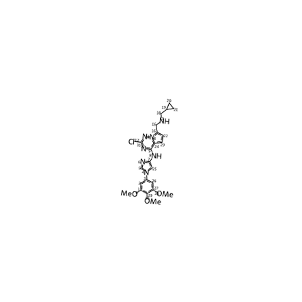 COc1cc(-n2cnc(Nc3nc(Cl)nn4c(CNCC5CC5)ccc34)c2)cc(OC)c1OC